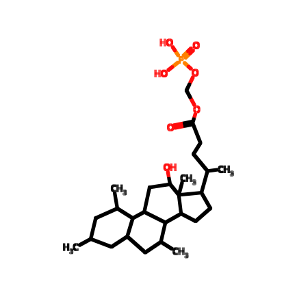 CC1CC(C)C2C(C1)CC(C)C1C2CC(O)C2(C)C(C(C)CCC(=O)OCOP(=O)(O)O)CCC12